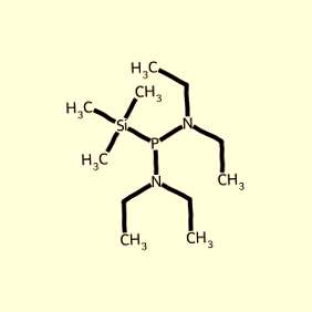 CCN(CC)P(N(CC)CC)[Si](C)(C)C